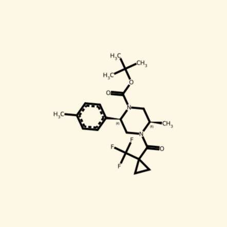 Cc1ccc([C@@H]2CN(C(=O)C3(C(F)(F)F)CC3)[C@H](C)CN2C(=O)OC(C)(C)C)cc1